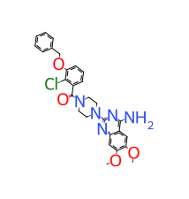 COc1cc2nc(N3CCN(C(=O)c4cccc(OCc5ccccc5)c4Cl)CC3)nc(N)c2cc1OC